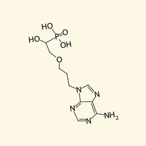 Nc1ncnc2c1ncn2CCCOCC(O)P(=O)(O)O